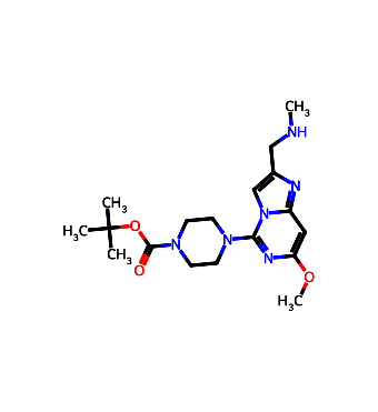 CNCc1cn2c(N3CCN(C(=O)OC(C)(C)C)CC3)nc(OC)cc2n1